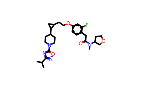 CC(C)c1noc(N2CCC(C3CC3CCOc3ccc(CC(=O)N(C)C4CCOC4)c(F)c3)CC2)n1